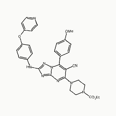 CCOC(=O)N1CCN(c2nc3nc(Nc4ccc(Oc5ccncc5)cc4)nn3c(-c3ccc(OC)cc3)c2C#N)CC1